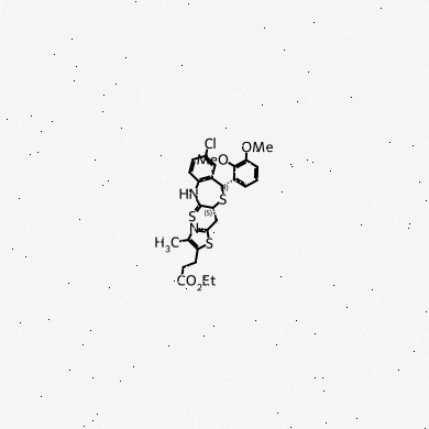 CCOC(=O)CCc1sc(C[C@@H]2S[C@@H](c3cccc(OC)c3OC)c3cc(Cl)ccc3NC2=S)nc1C